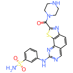 NS(=O)(=O)c1cccc(Nc2ncc3ccc4nc(C(=O)N5CCNCC5)sc4c3n2)c1